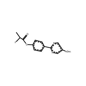 CCCCCCCCCCc1cnc(-c2ccc(OC(=O)C(C)F)cc2)nc1